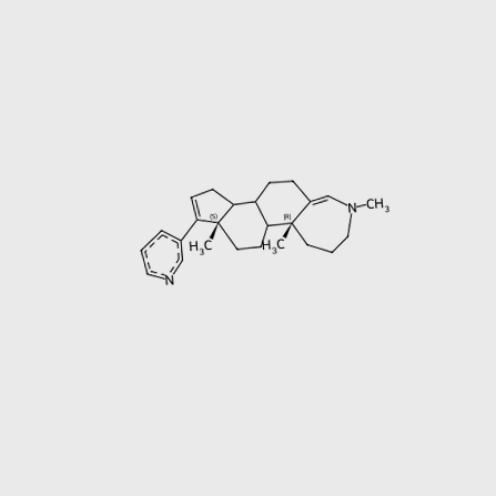 CN1C=C2CCC3C(CC[C@]4(C)C(c5cccnc5)=CCC34)[C@@]2(C)CCC1